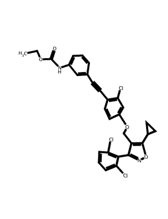 CCOC(=O)Nc1cccc(C#Cc2ccc(OCc3c(-c4c(Cl)cccc4Cl)noc3C3CC3)cc2Cl)c1